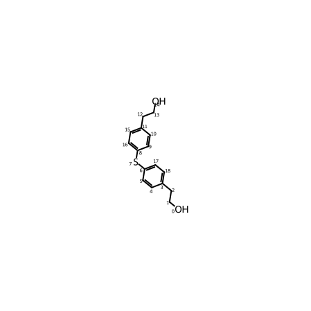 OCCc1ccc(Sc2ccc(CCO)cc2)cc1